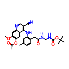 COc1cc2ncc(C#N)c(Nc3cc(C)ccc3CC(=O)NCNC(=O)OC(C)(C)C)c2cc1OC(C)=O